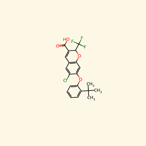 CC(C)(C)c1ccccc1Oc1cc2c(cc1Cl)C=C(C(=O)O)C(C(F)(F)F)O2